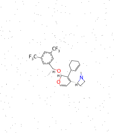 C[C@@H](O[C@H]1OC=CC([C@H]2CCN2C)=C1C1C=CCCC1)c1cc(C(F)(F)F)cc(C(F)(F)F)c1